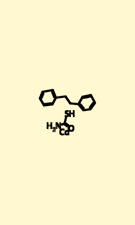 NC(=O)S.[Cd].c1ccc(CCc2ccccc2)cc1